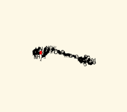 Nc1cccc2cnc(-n3ccc4cc(OCCOCCOCCOCCOc5ccc6c(c5)C(=O)N(C5CCC(=O)NC5=O)C6=O)ncc43)cc12